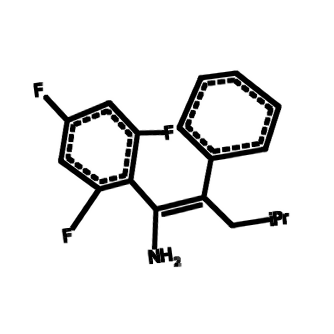 CC(C)C/C(=C(\N)c1c(F)cc(F)cc1F)c1ccccc1